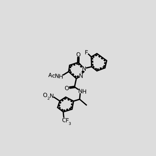 CC(=O)Nc1cc(=O)n(-c2ccccc2F)nc1C(=O)NC(C)c1cc([N+](=O)[O-])cc(C(F)(F)F)c1